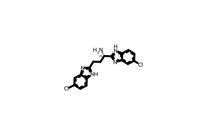 N[C@@H](CCc1nc2cc(Cl)ccc2[nH]1)c1nc2cc(Cl)ccc2[nH]1